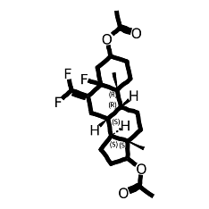 CC(=O)OC1CC[C@]2(C)[C@@H]3CC[C@]4(C)C(OC(C)=O)CC[C@H]4[C@@H]3CC(=C(F)F)C2(F)C1